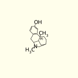 CN1CC2CC[C@@]3(C)c4cc(O)ccc4CC1C3C2